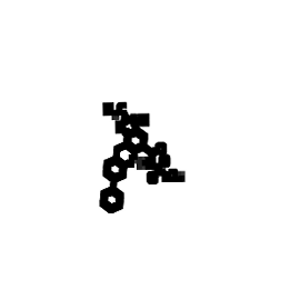 CCCCS(=O)(=O)NC(=O)c1cc(Cc2ccc(-c3ccccc3)cc2F)c2nc(C)[nH]c2c1